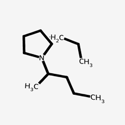 CCCC(C)N1CCCC1.[CH2]CC